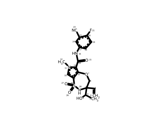 C=CC1(C(C)O)COc2c(cn(C)c2C(=O)Nc2ccc(F)c(C#N)c2)S(=O)(=O)N1